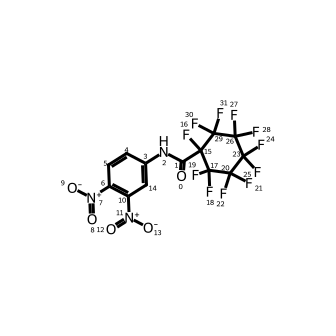 O=C(Nc1ccc([N+](=O)[O-])c([N+](=O)[O-])c1)C1(F)C(F)(F)C(F)(F)C(F)(F)C(F)(F)C1(F)F